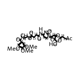 COc1cc(C(=O)N(C)CCOC(=O)CCC(=O)Nc2ccn([C@H]3C[C@@H](OC(=O)CCC(C)=O)C(CO)O3)c(=O)n2)cc(OC)c1OC